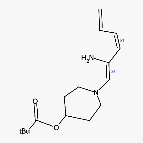 C=C/C=C\C(N)=C\N1CCC(OC(=O)C(C)(C)C)CC1